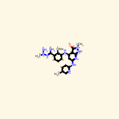 COc1c(Nc2cc(Nc3ccc(C)cn3)nc3[nH]n(C)c(=O)c23)cccc1/C(N)=N/N(C)N